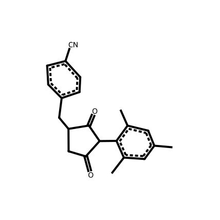 Cc1cc(C)c(C2C(=O)CC(Cc3ccc(C#N)cc3)C2=O)c(C)c1